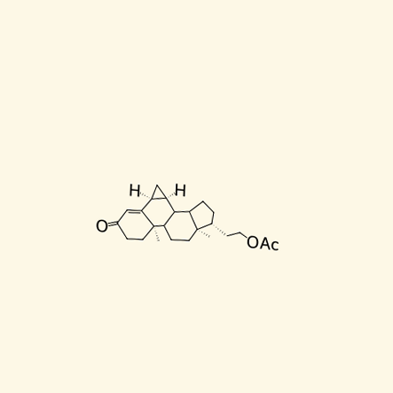 CC(=O)OCC[C@H]1CCC2C3C(CC[C@@]21C)[C@@]1(C)CCC(=O)C=C1[C@H]1C[C@@H]31